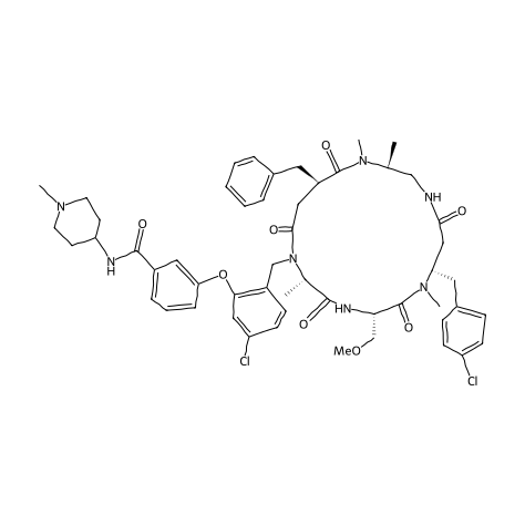 COC[C@@H]1NC(=O)[C@H](C)N(Cc2ccc(Cl)cc2Oc2cccc(C(=O)NC3CCN(C)CC3)c2)C(=O)C[C@@H](Cc2ccccc2)C(=O)N(C)[C@@H](C)CNC(=O)C[C@H](Cc2ccc(Cl)cc2)N(C)C1=O